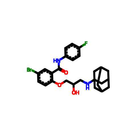 O=C(Nc1ccc(F)cc1)c1cc(Br)ccc1OCC(O)CNC12CC3CC(CC(C3)C1)C2